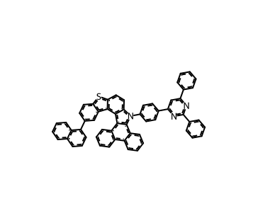 c1ccc(-c2cc(-c3ccc(-n4c5ccc6sc7ccc(-c8cccc9ccccc89)cc7c6c5c5c6ccccc6c6ccccc6c54)cc3)nc(-c3ccccc3)n2)cc1